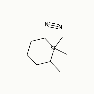 CC1CCCC[Si]1(C)C.N#N